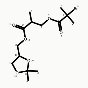 CC(COC(=O)C(C)(C)Br)C(=O)OCC1COC(C)(C)O1